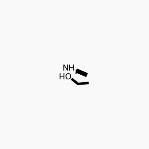 C=C.CCO.N